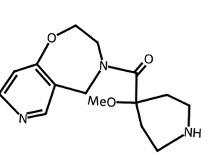 COC1(C(=O)N2CCOc3ccncc3C2)CCNCC1